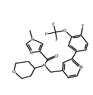 Cn1cnc(C(=O)N(Cc2ccnc(-c3ccc(F)c(OC(F)(F)F)c3)c2)C2CCOCC2)c1